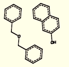 Oc1ccc2ccccc2c1.c1ccc(COCc2ccccc2)cc1